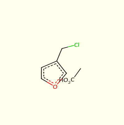 CC(=O)O.ClCc1ccoc1